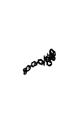 NC(=O)[C@]12CC3CC(C1)[C@H](NC(=O)N1CCN(c4ccc(N5CCC(N6CCS(=O)(=O)CC6)CC5)cn4)c4ccccc41)C(C3)C2